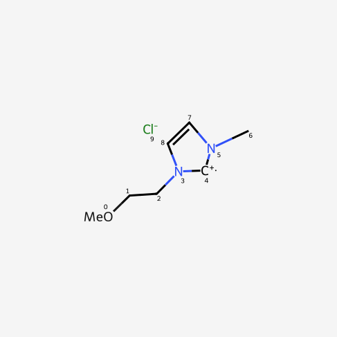 COCCN1[C+]N(C)C=C1.[Cl-]